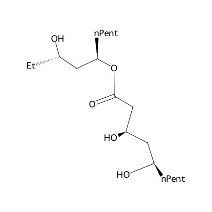 CCCCC[C@@H](O)C[C@@H](O)CC(=O)O[C@H](CCCCC)C[C@@H](O)CC